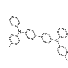 Cc1ccc(N(c2ccccc2)c2ccc(-c3ccc(N(c4ccccc4)c4ccc(C)cc4)cc3)cc2)cc1